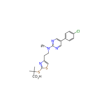 CC(C)N(CCc1csc(SC(C)(C)C(=O)O)n1)c1ncc(-c2ccc(Cl)cc2)cn1